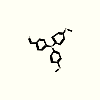 COc1ccc(P(c2ccc(C=O)cc2)c2ccc(OC)cc2)cc1